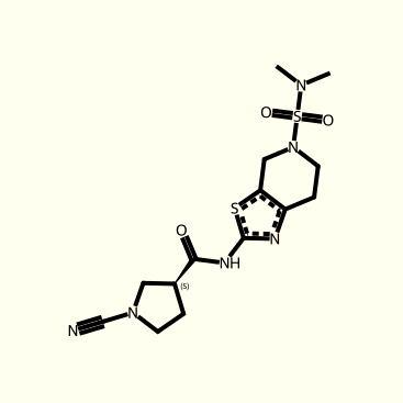 CN(C)S(=O)(=O)N1CCc2nc(NC(=O)[C@H]3CCN(C#N)C3)sc2C1